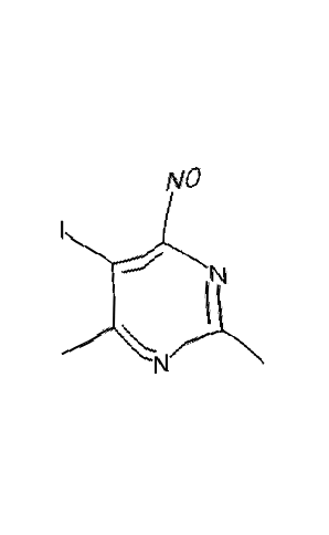 Cc1nc(C)c(I)c(N=O)n1